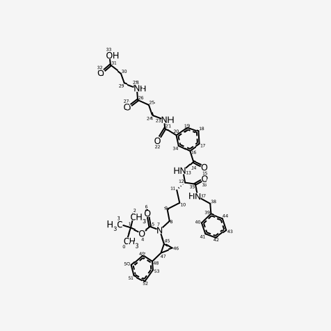 CC(C)(C)OC(=O)N(CCCC[C@H](NC(=O)c1cccc(C(=O)NCCC(=O)NCCC(=O)O)c1)C(=O)NCc1ccccc1)C1CC1c1ccccc1